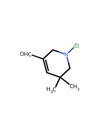 CC1(C)C=C(C=O)CN(Cl)C1